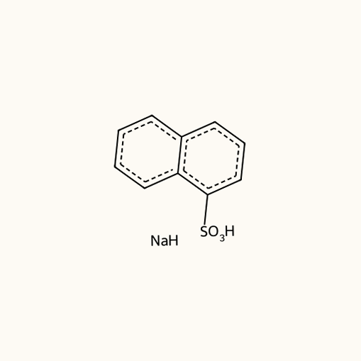 O=S(=O)(O)c1cccc2ccccc12.[NaH]